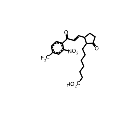 O=C(O)CCCCCCC1C(=O)CCC1C=CC(=O)c1ccc(C(F)(F)F)cc1[N+](=O)[O-]